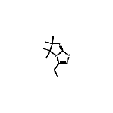 CCC1=CSC2=NC(C)(C)C(C)(C)N12